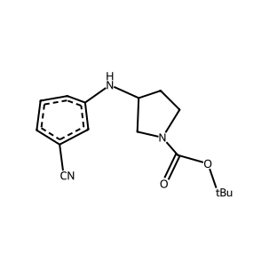 CC(C)(C)OC(=O)N1CCC(Nc2cccc(C#N)c2)C1